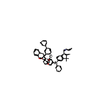 C=C/C=C\C1=C(C)C(C)(C)c2cc(N(c3ccccc3)c3ccc(-c4cccc5c4C4(Cc6ccccc6-5)c5ccccc5Oc5ccc(-c6ccccc6)cc54)cc3)ccc21